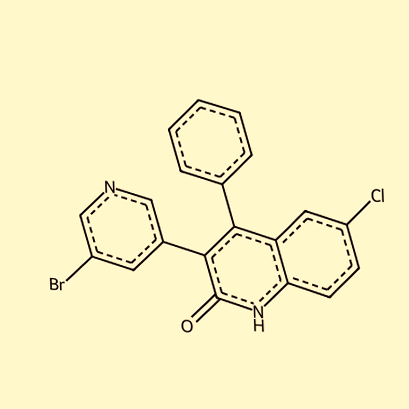 O=c1[nH]c2ccc(Cl)cc2c(-c2ccccc2)c1-c1cncc(Br)c1